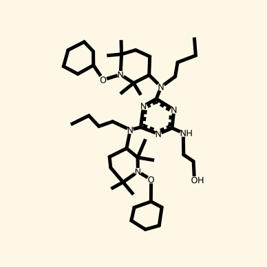 CCCCN(c1nc(NCCO)nc(N(CCCC)C2CCC(C)(C)N(OC3CCCCC3)C2(C)C)n1)C1CCC(C)(C)N(OC2CCCCC2)C1(C)C